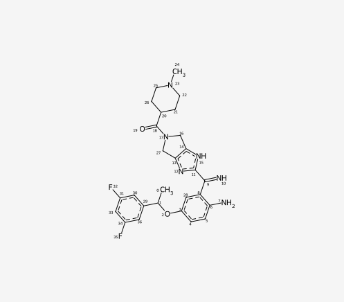 CC(Oc1ccc(N)c(C(=N)c2nc3c([nH]2)CN(C(=O)C2CCN(C)CC2)C3)c1)c1cc(F)cc(F)c1